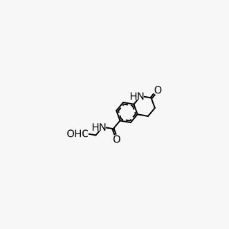 O=CCNC(=O)c1ccc2c(c1)CCC(=O)N2